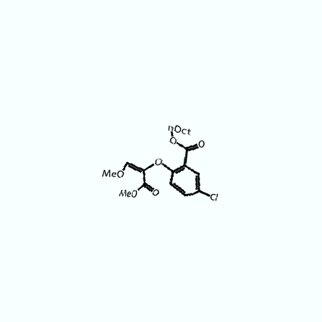 CCCCCCCCOC(=O)c1cc(Cl)ccc1OC(=COC)C(=O)OC